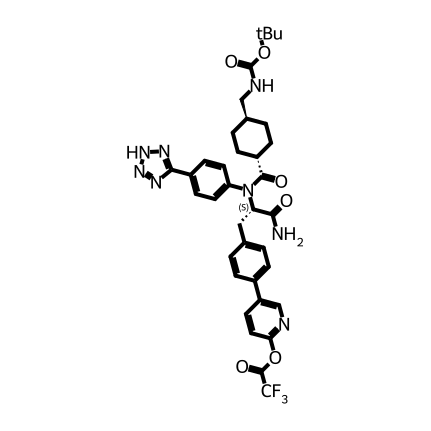 CC(C)(C)OC(=O)NC[C@H]1CC[C@H](C(=O)N(c2ccc(-c3nn[nH]n3)cc2)[C@@H](Cc2ccc(-c3ccc(OC(=O)C(F)(F)F)nc3)cc2)C(N)=O)CC1